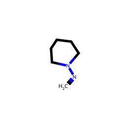 C=NN1CCCCC1